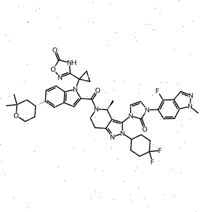 C[C@H]1c2c(nn(C3CCC(F)(F)CC3)c2-n2ccn(-c3ccc4c(cnn4C)c3F)c2=O)CCN1C(=O)c1cc2cc([C@@H]3CCOC(C)(C)C3)ccc2n1C1(c2noc(=O)[nH]2)CC1